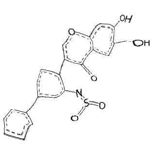 O=c1c(-c2ccc(-c3ccccc3)cc2N=S(=O)=O)coc2cc(O)c(O)cc12